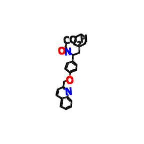 O=C(O)C1ON1C(CC1CCCCC1)c1ccc(OCc2ccc3ccccc3n2)cc1